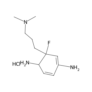 CN(C)CCCC1(F)C=C(N)C=CC1N.Cl